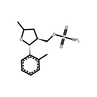 Cc1ccccc1[C@@H]1OC(C)C[C@H]1COS(N)(=O)=O